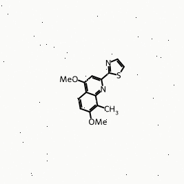 COc1ccc2c(OC)cc(-c3nccs3)nc2c1C